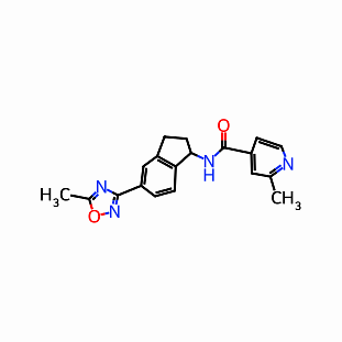 Cc1cc(C(=O)NC2CCc3cc(-c4noc(C)n4)ccc32)ccn1